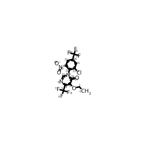 CCOc1c(C(F)(F)F)ncn(-c2c(Cl)cc(C(F)(F)F)cc2[N+](=O)[O-])c1=O